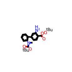 CN(C(=O)OC(C)(C)C)c1ccccc1-c1ccc(C(=O)OOC(C)(C)C)c(N)c1